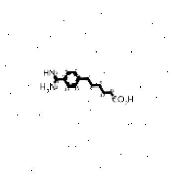 N=C(N)c1ccc(CCCCCC(=O)O)cc1